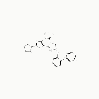 CCCN1C(=O)N2CC(Cc3ccccc3-c3ccccc3)N=C2c2[nH]c(C3CCCC3)nc21